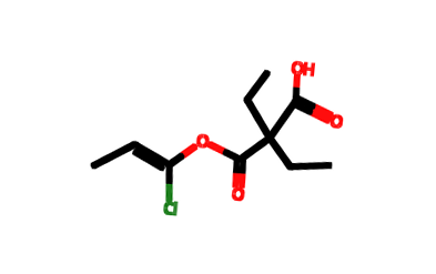 CC=C(Cl)OC(=O)C(CC)(CC)C(=O)O